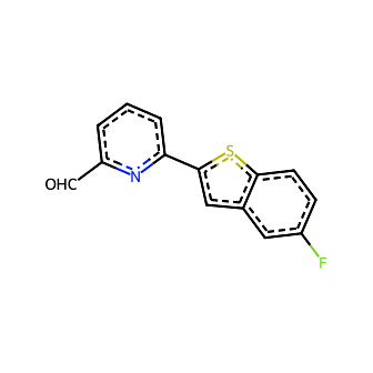 O=Cc1cccc(-c2cc3cc(F)ccc3s2)n1